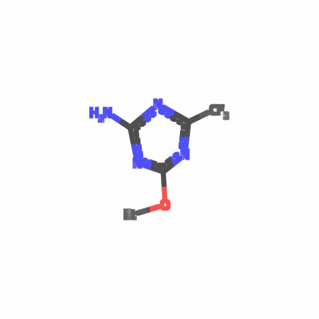 CCOc1nc(N)nc(C(F)(F)F)n1